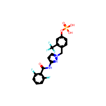 O=C(Nc1ccn(Cc2ccc(OP(=O)(O)O)cc2C(F)(F)F)n1)c1c(F)cccc1F